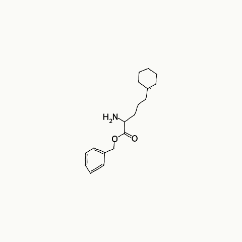 NC(CCC[C]1CCCCC1)C(=O)OCc1ccccc1